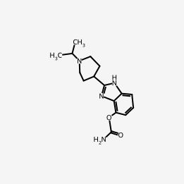 CC(C)N1CCC(c2nc3c(OC(N)=O)cccc3[nH]2)CC1